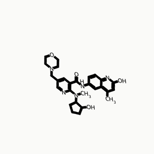 Cc1cc(O)nc2ccc(NC(=O)c3cc(CN4CCOCC4)cnc3N(C)C3CCCC3O)cc12